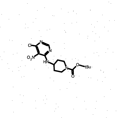 CC(C)(C)OC(=O)N1CCC(Nc2ncnc(Cl)c2[N+](=O)[O-])CC1